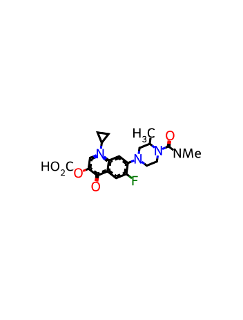 CNC(=O)N1CCN(c2cc3c(cc2F)c(=O)c(OC(=O)O)cn3C2CC2)CC1C